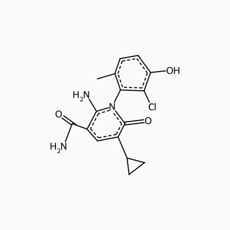 Cc1ccc(O)c(Cl)c1-n1c(N)c(C(N)=O)cc(C2CC2)c1=O